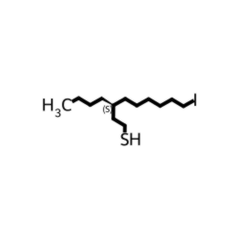 CCCC[C@H](CCS)CCCCCCI